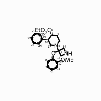 CCOC(=O)[C@@H]1CCN(C2(Oc3ccccc3OC)CNC2)C[C@H]1c1ccccc1